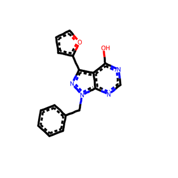 Oc1ncnc2c1c(-c1ccco1)nn2Cc1ccccc1